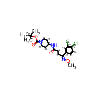 CO/N=C(/CCC(=O)NC1CCN(C(=O)OC(C)(C)C)CC1)c1ccc(Cl)c(Cl)c1